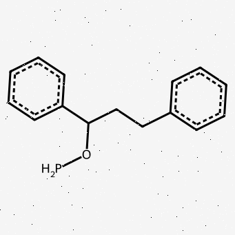 POC(CCc1ccccc1)c1ccccc1